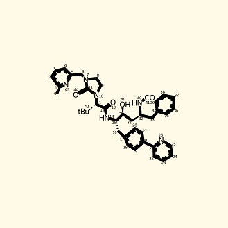 Cc1cccc(CN2CCN([C@H](C(=O)N[C@@H](Cc3ccc(-c4ccccn4)cc3)[C@@H](O)C[C@H](Cc3ccccc3)NC(=O)O)C(C)(C)C)C2=O)n1